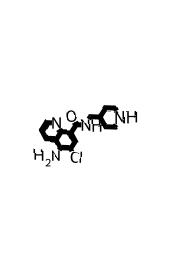 Nc1c(Cl)cc(C(=O)NCC2CCNCC2)c2ncccc12